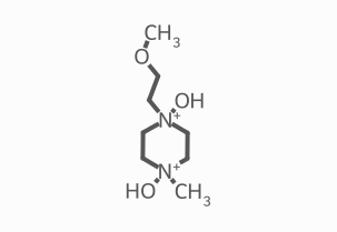 COCC[N+]1(O)CC[N+](C)(O)CC1